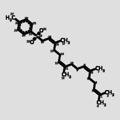 CC(C)=CCCC(C)=CCCC(C)=CCCC(C)=CCS(=O)(=O)c1ccc(C)cc1